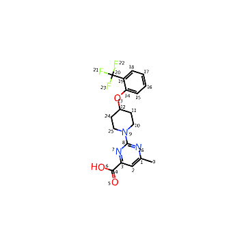 Cc1cc(C(=O)O)nc(N2CCC(Oc3ccccc3C(F)(F)F)CC2)n1